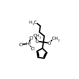 CCCCC(OC)(OC)C1C=CC=C1.[Cl][Hf]([Cl])[Cl]